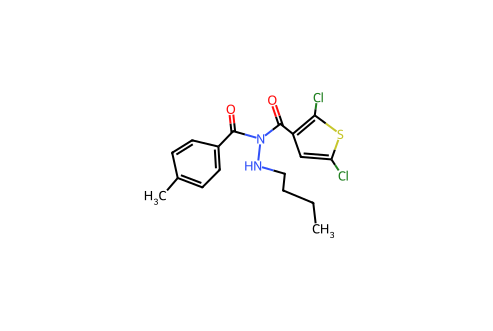 CCCCNN(C(=O)c1ccc(C)cc1)C(=O)c1cc(Cl)sc1Cl